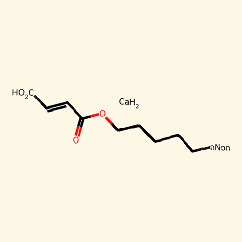 CCCCCCCCCCCCCCOC(=O)C=CC(=O)O.[CaH2]